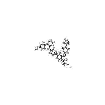 COC(=O)c1ccc(N2CCN(Cc3ccccc3-c3ccc(Cl)cc3)CC2)cc1Oc1ccc(-n2ccnc2)cc1